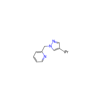 CC(C)c1cnn(Cc2ccccn2)c1